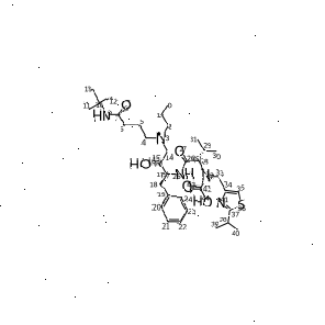 CCCN(CCCC(=O)NC(C)(C)C)C[C@@H](O)[C@H](Cc1ccccc1)NC(=O)[C@H](C(C)C)N(Cc1csc(C(C)C)n1)C(=O)O